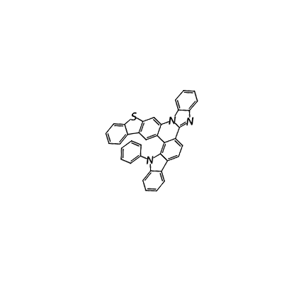 c1ccc(-n2c3ccccc3c3ccc4c(c5cc6c(cc5n5c7ccccc7nc45)sc4ccccc46)c32)cc1